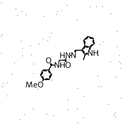 COc1ccc(C(=O)NCC(=O)N/N=C/c2c(C)[nH]c3ccccc23)cc1